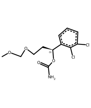 COCOCC[C@H](OC(N)=O)c1cccc(Cl)c1Cl